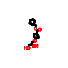 O=C(OCc1ccccc1)c1ccc(OCC(O)CO)cc1